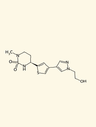 CN1CC[C@@H](c2cc(-c3cnn(CCO)c3)cs2)NS1(=O)=O